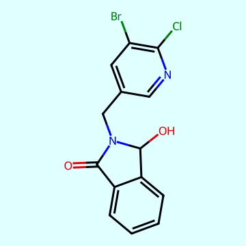 O=C1c2ccccc2C(O)N1Cc1cnc(Cl)c(Br)c1